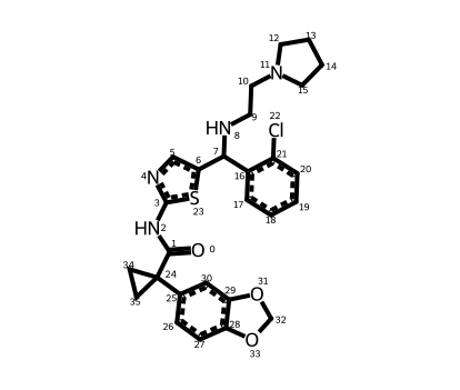 O=C(Nc1ncc(C(NCCN2CCCC2)c2ccccc2Cl)s1)C1(c2ccc3c(c2)OCO3)CC1